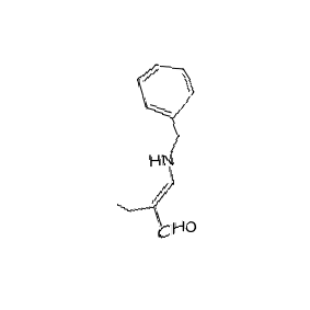 CC(C=O)=CNCc1ccccc1